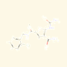 NC(=O)Nc1sc(C(=O)NCc2ccccc2Cl)cc1C(N)=O